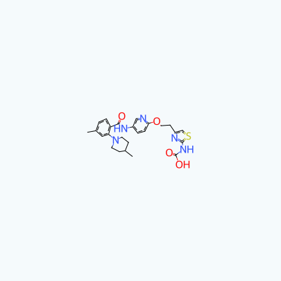 Cc1ccc(C(=O)Nc2ccc(OCCc3csc(NC(=O)O)n3)nc2)c(N2CCC(C)CC2)c1